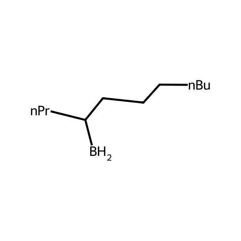 BC(CCC)CCCCCCC